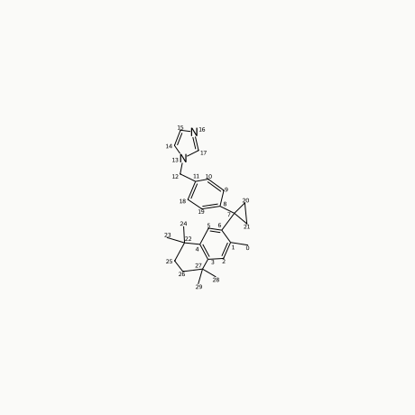 Cc1cc2c(cc1C1(c3ccc(Cn4ccnc4)cc3)CC1)C(C)(C)CCC2(C)C